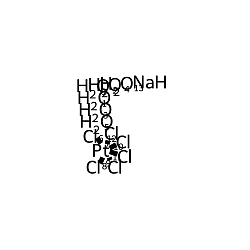 O.O.O.O.O.O.[Cl][Pt]([Cl])([Cl])([Cl])([Cl])[Cl].[NaH]